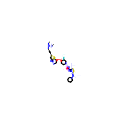 CCN(CC)CC#Cc1cc2nccc(Oc3ccc(NC(=O)c4csc(Nc5ccccc5)n4)cc3F)c2s1